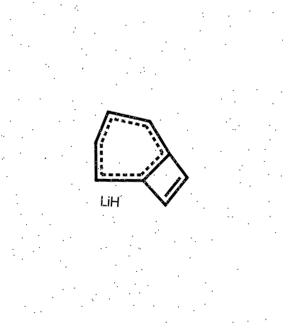 C1=Cc2ccccc21.[LiH]